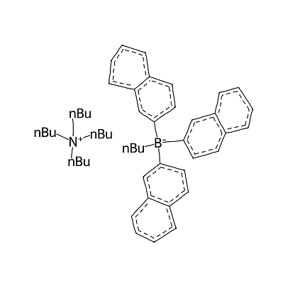 CCCC[B-](c1ccc2ccccc2c1)(c1ccc2ccccc2c1)c1ccc2ccccc2c1.CCCC[N+](CCCC)(CCCC)CCCC